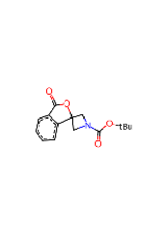 CC(C)(C)OC(=O)N1CC2(C1)OC(=O)c1ccccc12